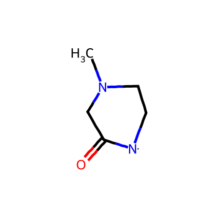 CN1CC[N]C(=O)C1